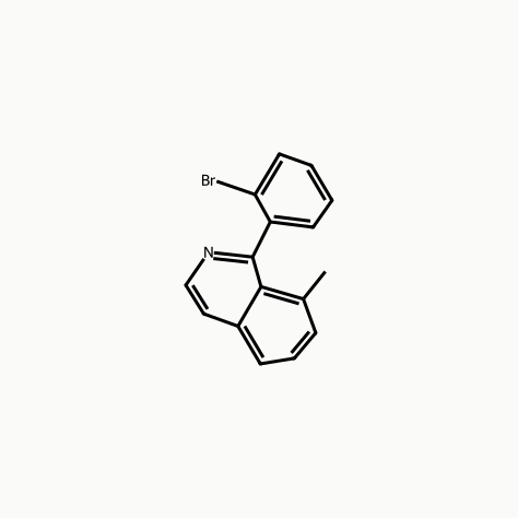 Cc1cccc2ccnc(-c3ccccc3Br)c12